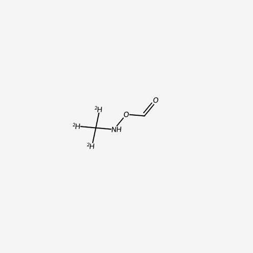 [2H]C([2H])([2H])NOC=O